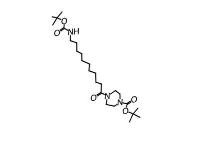 CC(C)(C)OC(=O)NCCCCCCCCCCC(=O)N1CCN(C(=O)OC(C)(C)C)CC1